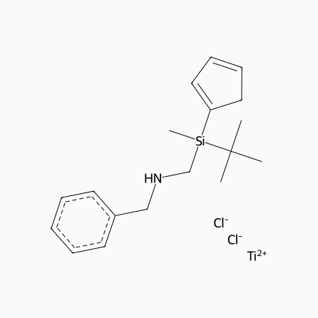 CC(C)(C)[Si](C)(CNCc1ccccc1)C1=CC=CC1.[Cl-].[Cl-].[Ti+2]